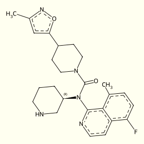 Cc1cc(C2CCN(C(=O)N(c3nccc4c(F)ccc(C)c34)[C@@H]3CCCNC3)CC2)on1